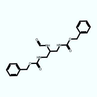 O=CNC(CNC(=O)OCc1ccccc1)CNC(=O)OCc1ccccc1